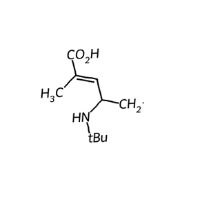 [CH2]C(C=C(C)C(=O)O)NC(C)(C)C